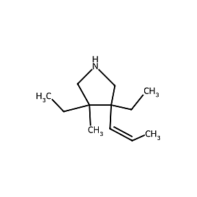 C/C=C\C1(CC)CNCC1(C)CC